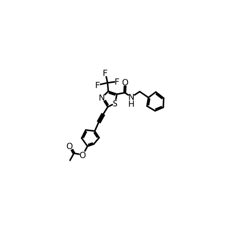 CC(=O)Oc1ccc(C#Cc2nc(C(F)(F)F)c(C(=O)NCc3ccccc3)s2)cc1